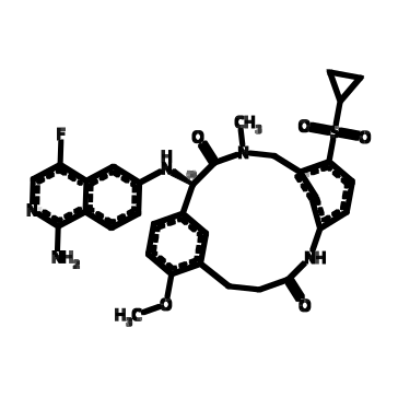 COc1ccc2cc1CCC(=O)Nc1ccc(S(=O)(=O)C3CC3)c(c1)CN(C)C(=O)[C@@H]2Nc1ccc2c(N)ncc(F)c2c1